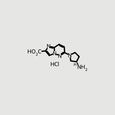 Cl.N[C@@H]1CCN(c2ccc3nc(C(=O)O)cn3n2)C1